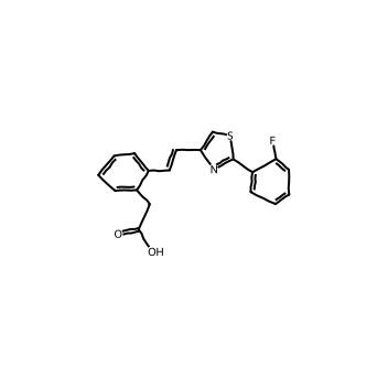 O=C(O)Cc1ccccc1C=Cc1csc(-c2ccccc2F)n1